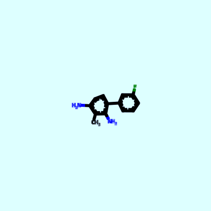 Cc1c(N)ccc(-c2cccc(F)c2)c1N